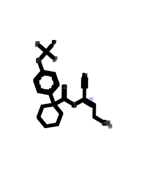 CC/C=C(/C#N)OC(=O)C1(c2ccc(OC(F)(F)F)cc2)CCCCC1